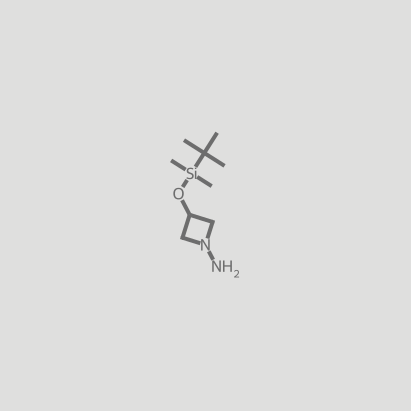 CC(C)(C)[Si](C)(C)OC1CN(N)C1